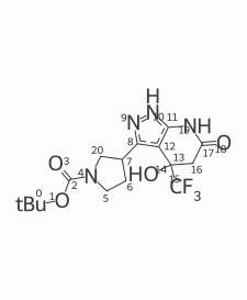 CC(C)(C)OC(=O)N1CCC(c2n[nH]c3c2C(O)(C(F)(F)F)CC(=O)N3)C1